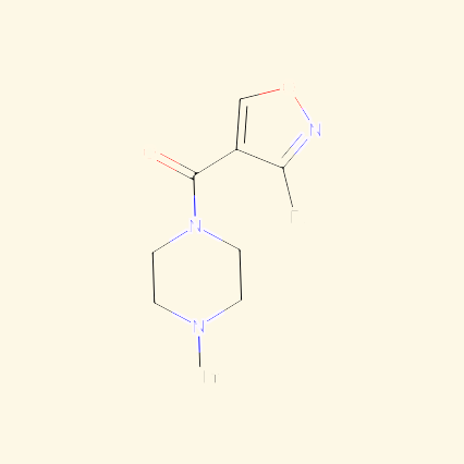 CCc1nocc1C(=O)N1CCN(C(C)C)CC1